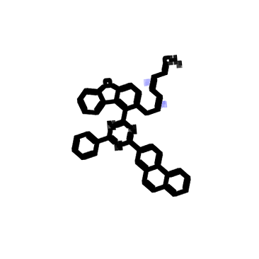 C=C/C=C\C=C/Cc1ccc2oc3ccccc3c2c1-c1nc(-c2ccccc2)nc(-c2ccc3c(ccc4ccccc43)c2)n1